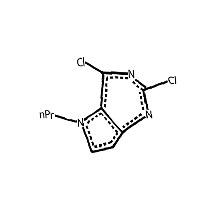 CCCn1ccc2nc(Cl)nc(Cl)c21